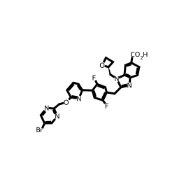 O=C(O)c1ccc2nc(Cc3cc(F)c(-c4cccc(OCc5ncc(Br)cn5)n4)cc3F)n(C[C@@H]3CCO3)c2c1